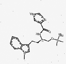 Cn1cc(CC[C@H](CO[Si](C)(C)C(C)(C)C)NC(=O)c2c[nH]cn2)c2ccccc21